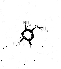 COc1cc(F)c(N)cc1N